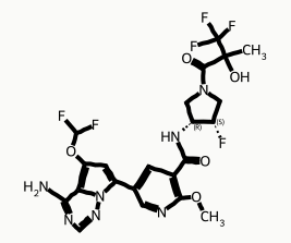 COc1ncc(-c2cc(OC(F)F)c3c(N)ncnn23)cc1C(=O)N[C@@H]1CN(C(=O)C(C)(O)C(F)(F)F)C[C@@H]1F